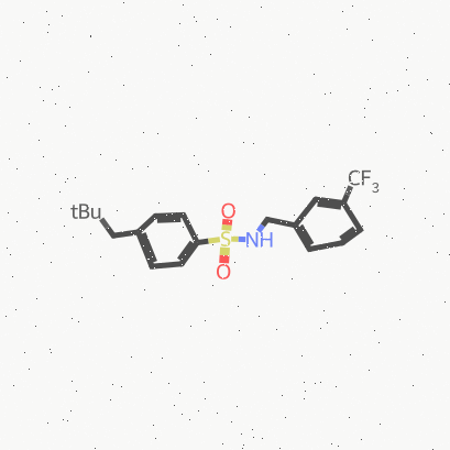 CC(C)(C)Cc1ccc(S(=O)(=O)NCc2cccc(C(F)(F)F)c2)cc1